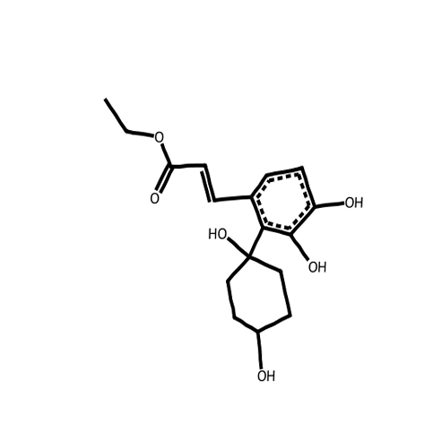 CCOC(=O)C=Cc1ccc(O)c(O)c1C1(O)CCC(O)CC1